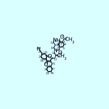 CC(=O)c1ccc(C(=O)N(CCCN)CC(C)Cc2oc3cc(C#N)ccc3c(=O)c2Cc2ccccc2)cc1